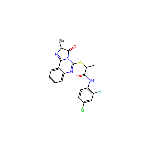 CCC(C)C1N=C2c3ccccc3N=C(SC(C)C(=O)Nc3ccc(Cl)cc3F)N2C1=O